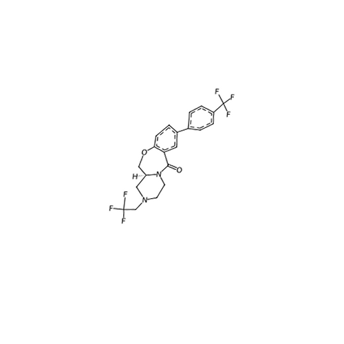 O=C1c2cc(-c3ccc(C(F)(F)F)cc3)ccc2OC[C@@H]2CN(CC(F)(F)F)CCN12